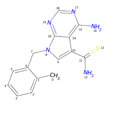 Cc1ccccc1Cn1cc(C(N)=S)c2c(N)ncnc21